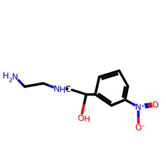 NCCNCC(O)c1cccc([N+](=O)[O-])c1